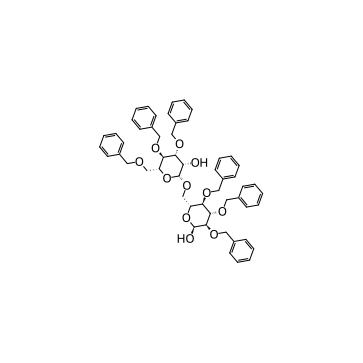 O[C@@H]1[C@H](OC[C@H]2O[C@H](O)[C@H](OCc3ccccc3)[C@@H](OCc3ccccc3)[C@@H]2OCc2ccccc2)O[C@H](COCc2ccccc2)[C@@H](OCc2ccccc2)[C@@H]1OCc1ccccc1